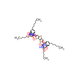 CCCCCCC1=CC2(c3cc4sc5cc(C67C=C(CCCCCC)C(C(=O)NC6=O)c6c7c7cc(CCCCCC)c6c(=O)[nH]c7=O)sc5c4s3)C(=O)NC(=O)C1c1c2c2cc(CCCCCC)c1c(=O)[nH]c2=O